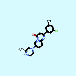 C[C@H]1CN(c2ccc3nc(-c4cc(F)cc(C#N)c4)cc(=O)n3c2)CCN1